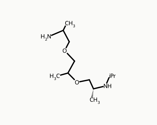 CC(N)COCC(C)OC[C@@H](C)NC(C)C